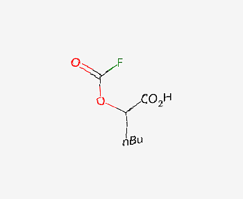 CCCCC(OC(=O)F)C(=O)O